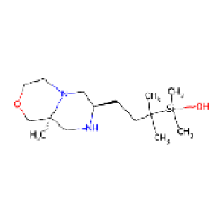 CC(C)(CC[C@@H]1CN2CCOC[C@]2(C)CN1)[Si](C)(C)O